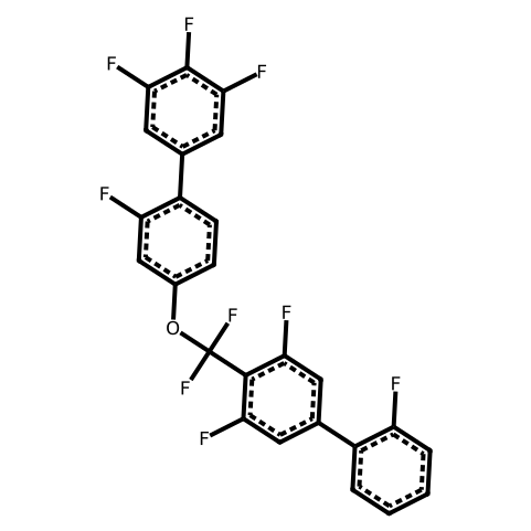 Fc1ccccc1-c1cc(F)c(C(F)(F)Oc2ccc(-c3cc(F)c(F)c(F)c3)c(F)c2)c(F)c1